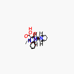 CC[C@@H]1C[C@@H]2C[C@H](C1)C[C@@H](N1[C@@H]3CCC[C@H]1C[C@@H](n1c(=O)c(C(=O)O)nc4ccccc41)C3)C2